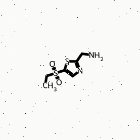 CCS(=O)(=O)c1cnc(CN)s1